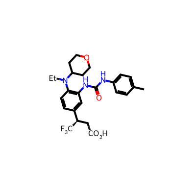 CCN(c1ccc([C@@H](CC(=O)O)C(F)(F)F)cc1NC(=O)Nc1ccc(C)cc1)C1CCOCC1